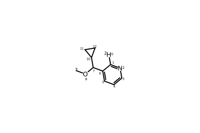 [2H]c1ncccc1C(OC)C1CC1